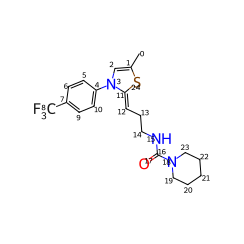 CC1=CN(c2ccc(C(F)(F)F)cc2)C(=CCCNC(=O)N2CCCCC2)S1